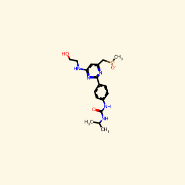 CC(C)NC(=O)Nc1ccc(-c2nc(C[S+](C)[O-])cc(NCCO)n2)cc1